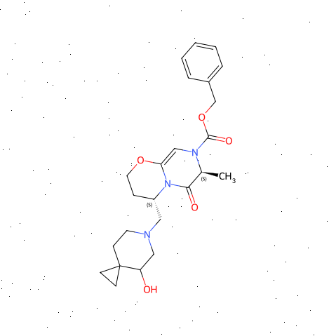 C[C@H]1C(=O)N2C(=CN1C(=O)OCc1ccccc1)OCC[C@H]2CN1CCC2(CC2)C(O)C1